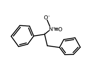 O=[N+]([O-])[C](Cc1ccccc1)c1ccccc1